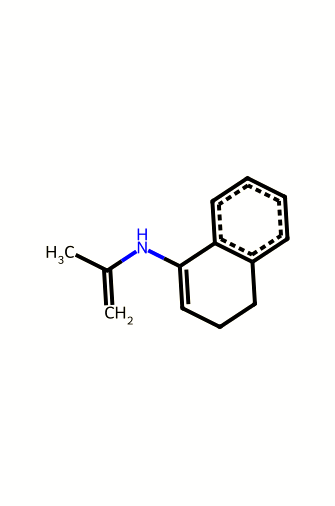 C=C(C)NC1=CCCc2ccccc21